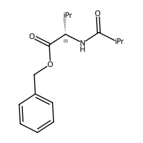 CC(C)C(=O)N[C@H](C(=O)OCc1ccccc1)C(C)C